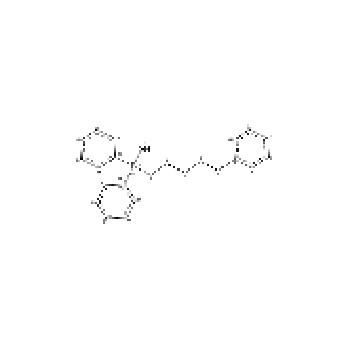 S[PH](CCCCCc1ccccc1)(c1ccccc1)c1ccccc1